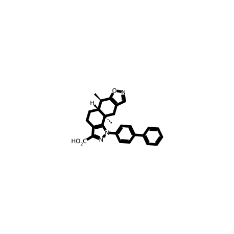 C[C@H]1c2oncc2C[C@@]2(C)c3c(c(C(=O)O)nn3-c3ccc(-c4ccccc4)cc3)CC[C@H]12